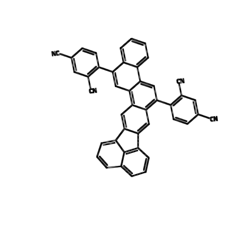 N#Cc1ccc(-c2cc3c4cc5c(cc4c(-c4ccc(C#N)cc4C#N)cc3c3ccccc23)-c2cccc3cccc-5c23)c(C#N)c1